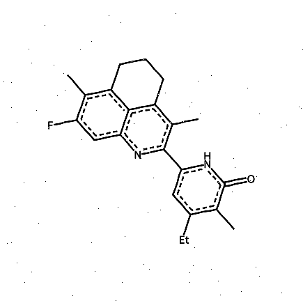 CCc1cc(-c2nc3cc(F)c(C)c4c3c(c2C)CCC4)[nH]c(=O)c1C